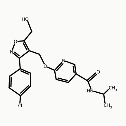 CC(C)NC(=O)c1ccc(OCc2c(-c3ccc(Cl)cc3)noc2CO)nc1